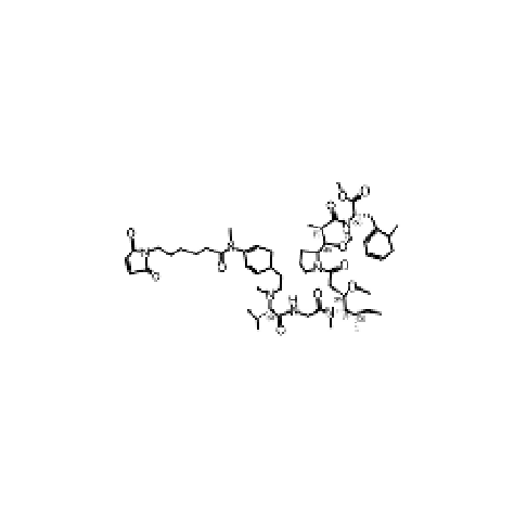 CC[C@H](C)[C@@H]([C@@H](CC(=O)N1CCCC1[C@H](OC)[C@@H](C)C(=O)N[C@@H](CC1=CC=CCC1C)C(=O)OC)OC)N(C)C(=O)CNC(=O)[C@H](C(C)C)N(C)CCC1C=CC(N(C)C(=O)CCCCCN2C(=O)C=CC2=O)=CC1